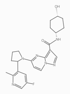 Cc1ncc(F)cc1C1CCCN1c1ccn2ncc(C(=O)N[C@H]3CC[C@@H](O)CC3)c2n1